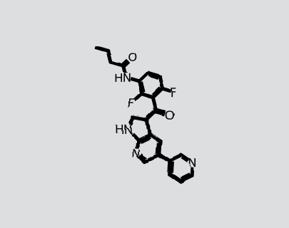 CCCC(=O)Nc1ccc(F)c(C(=O)C2CNc3ncc(-c4cccnc4)cc32)c1F